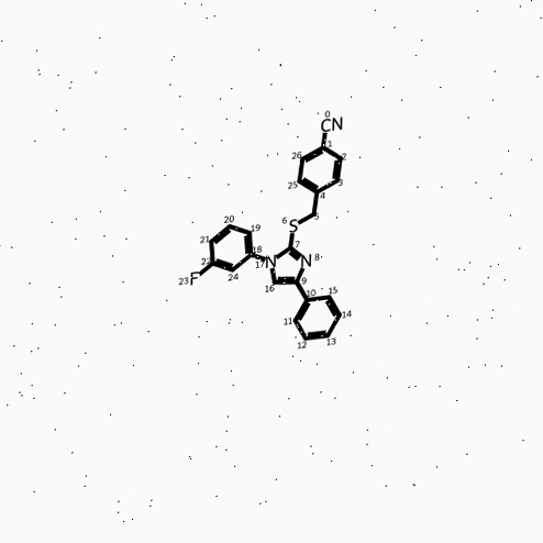 N#Cc1ccc(CSc2nc(-c3ccccc3)cn2-c2cccc(F)c2)cc1